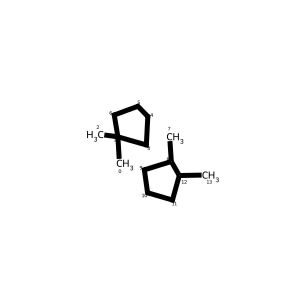 CC1(C)CCCC1.CC1CCCC1C